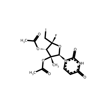 CC(=O)O[C@H]1[C@@](C)(OC(C)=O)[C@H](n2ccc(=O)[nH]c2=O)O[C@@]1(F)CI